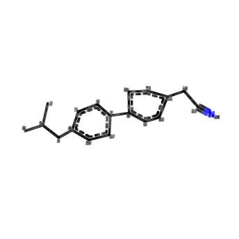 CC(C)Cc1ccc(-c2ccc(CC#N)cc2)cc1